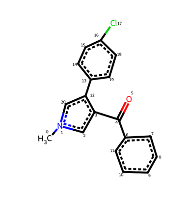 Cn1cc(C(=O)c2ccccc2)c(-c2ccc(Cl)cc2)c1